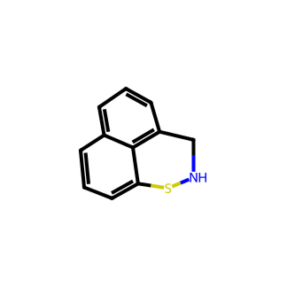 c1cc2c3c(cccc3c1)SNC2